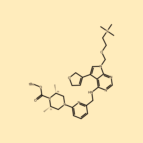 C[C@@H]1CN(c2cccc(CNc3ncnc4c3c(C3=CCOC3)cn4COCC[Si](C)(C)C)n2)C[C@H](C)N1C(=O)OC(C)(C)C